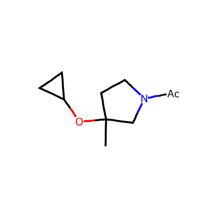 CC(=O)N1CCC(C)(OC2CC2)C1